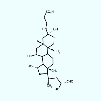 C[C@H](C[C@@H](O)C=O)[C@H]1C[C@H](O)C2C3C(CC[C@@]21C)[C@@]1(C)CC[C@](O)(NCCS(=O)(=O)O)C[C@H]1C[C@@H]3O